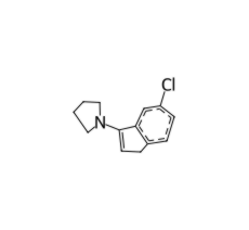 Clc1ccc2c(c1)C(N1CCCC1)=CC2